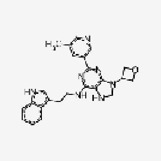 Cc1cncc(-c2nc(NCCc3c[nH]c4ccccc34)c3c(n2)N(C2COC2)CN3)c1